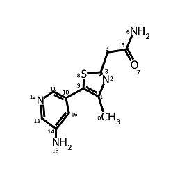 Cc1nc(CC(N)=O)sc1-c1cncc(N)c1